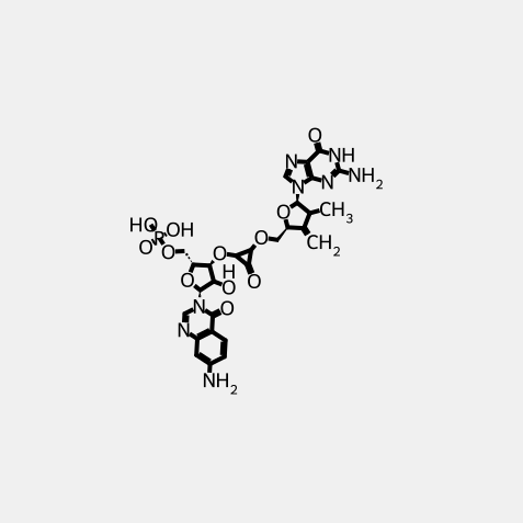 C=C1C(C)[C@H](n2cnc3c(=O)[nH]c(N)nc32)O[C@@H]1COC1C(=O)C1O[C@H]1C(O)[C@H](n2cnc3cc(N)ccc3c2=O)O[C@@H]1COP(=O)(O)O